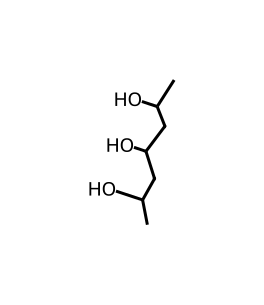 CC(O)CC(O)CC(C)O